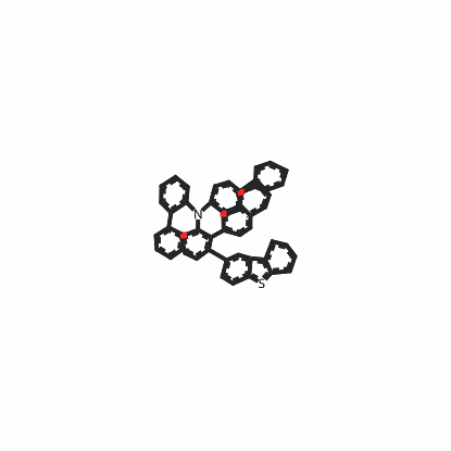 c1ccc(-c2ccc(N(c3ccccc3-c3ccccc3)c3cccc(-c4ccc5sc6ccccc6c5c4)c3-c3ccc4ccccc4c3)cc2)cc1